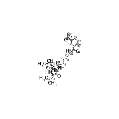 CC(C)C[C@@H](NC(=O)OC(C)(C)C)C(=O)NNC(=O)CCCCCNC(=O)c1cc([N+](=O)[O-])ccc1F